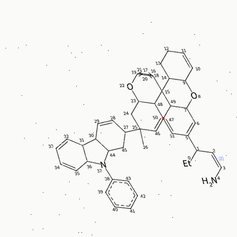 CCC(/C=C\N)C1=CC2OC3C=CCCC3C3(C4=CCCC=C4OC4CC(C)(C5C=CC6C7C=CC=CC7N(c7ccccc7)C6C5)C=CC43)C2C=C1